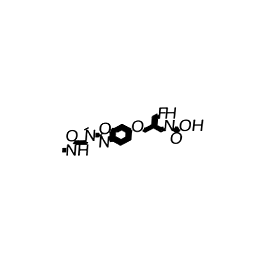 CNC(=O)CN(C)c1nc2ccc(OCC(=CF)CNC(=O)O)cc2o1